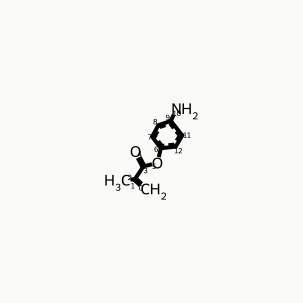 C=C(C)C(=O)Oc1ccc(N)cc1